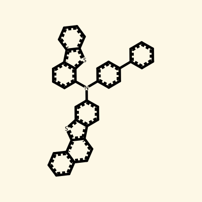 c1ccc(-c2ccc(N(c3ccc4c(c3)sc3c5ccccc5ccc43)c3cccc4c3sc3ccccc34)cc2)cc1